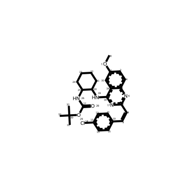 COc1ccc2nc(/C=C\c3ccc(Cl)cc3)nc(NC3CCCCC3NC(=O)OC(C)(C)C)c2c1